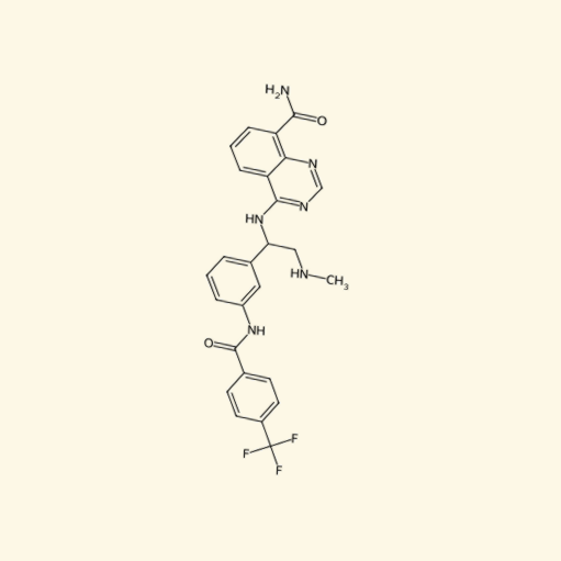 CNCC(Nc1ncnc2c(C(N)=O)cccc12)c1cccc(NC(=O)c2ccc(C(F)(F)F)cc2)c1